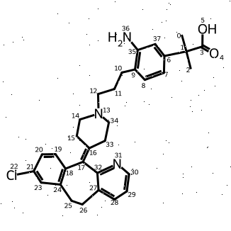 CC(C)(C(=O)O)c1ccc(CCCN2CCC(=C3c4ccc(Cl)cc4CCc4cccnc43)CC2)c(N)c1